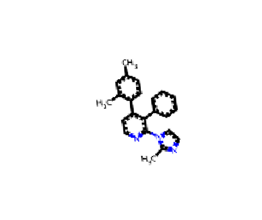 Cc1ccc(-c2ccnc(-n3ccnc3C)c2-c2ccccc2)c(C)c1